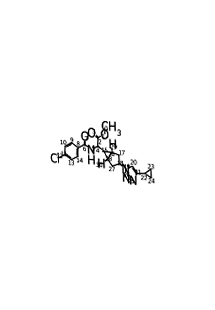 COC(=O)C(NC(=O)c1ccc(Cl)cc1)[C@H]1[C@@H]2C[C@@H](n3cc(C4CC4)nn3)C[C@@H]21